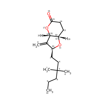 C=C1[C@H](CCC(C)(C)CCC)O[C@H]2CCC(=O)O[C@@H]12